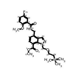 COC(=O)c1ccc(CNC(=O)c2cc(F)ccc2OC)c2cnn(COCC[Si](C)(C)C)c12